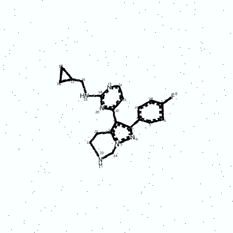 Fc1ccc(-c2nn3c(c2-c2ccnc(NCC4CC4)n2)CCNC3)cc1